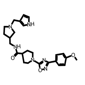 COc1ccc(-c2noc(N3CCC(C(=O)NCC4CCN(Cc5cc[nH]c5)C4)CC3)n2)cc1